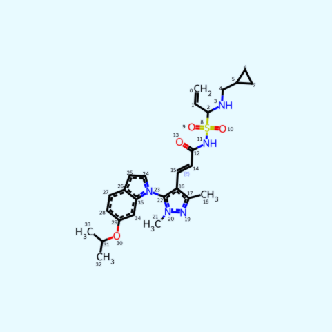 C=CC(NCC1CC1)S(=O)(=O)NC(=O)/C=C/c1c(C)nn(C)c1-n1ccc2ccc(OC(C)C)cc21